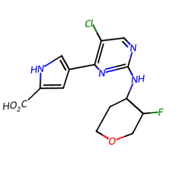 O=C(O)c1cc(-c2nc(NC3CCOCC3F)ncc2Cl)c[nH]1